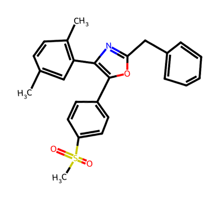 Cc1ccc(C)c(-c2nc(Cc3ccccc3)oc2-c2ccc(S(C)(=O)=O)cc2)c1